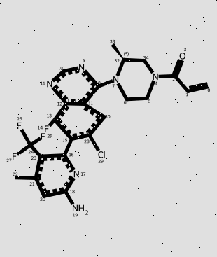 C=CC(=O)N1CCN(c2ncnc3c(F)c(-c4nc(N)cc(C)c4C(F)(F)F)c(Cl)cc23)[C@@H](C)C1